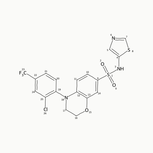 O=S(=O)(Nc1cncs1)c1ccc2c(c1)OCCN2c1ccc(C(F)(F)F)cc1Cl